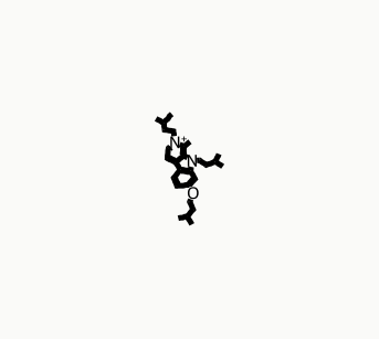 Cc1c2c(cc[n+]1CCC(C)C)c1ccc(OCCC(C)C)cc1n2CCC(C)C